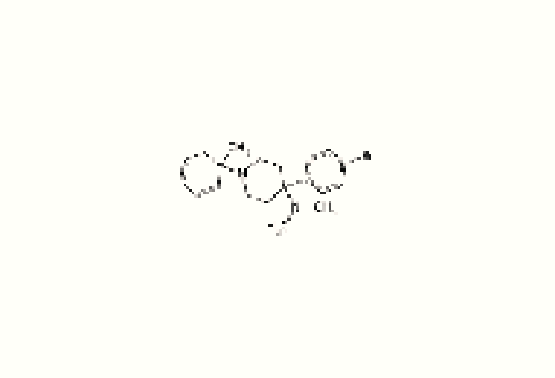 CN(C)C1(c2ccc(Br)cc2)CCN(C2(C)C=CC=CC2)CC1